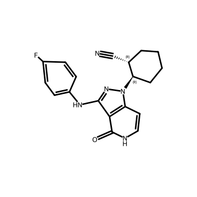 N#C[C@@H]1CCCC[C@H]1n1nc(Nc2ccc(F)cc2)c2c(=O)[nH]ccc21